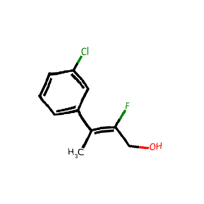 CC(=C(F)CO)c1cccc(Cl)c1